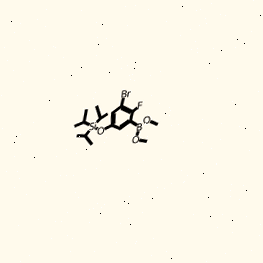 COB(OC)c1cc(O[Si](C(C)C)(C(C)C)C(C)C)cc(Br)c1F